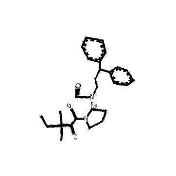 CCC(C)(C)C(=O)C(=O)N1CCC[C@H]1N(C=O)CCC(c1ccccc1)c1ccccc1